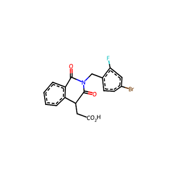 O=C(O)CC1C(=O)N(Cc2ccc(Br)cc2F)C(=O)c2ccccc21